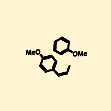 C/C=C\c1ccc(OC)cc1.COc1ccccc1